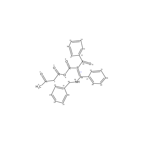 CC(=O)CC(=O)OC(=O)/C(C(=O)c1ccccc1)=C(\NCc1ccccc1)c1ccccc1